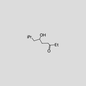 CCC(=O)CCC(O)CC(C)C